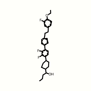 CCCC(O)C1CCC(c2ccc(-c3ccc(CCc4ccc(OCC)c(F)c4)cc3)c(F)c2F)CC1